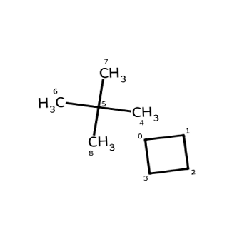 C1CCC1.CC(C)(C)C